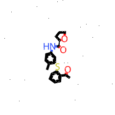 CC(=O)c1ccccc1Sc1cc(NC(=O)[C@H]2CCCO2)ccc1C